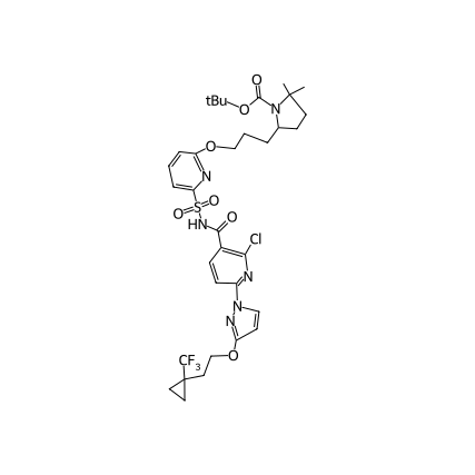 CC(C)(C)OC(=O)N1C(CCCOc2cccc(S(=O)(=O)NC(=O)c3ccc(-n4ccc(OCCC5(C(F)(F)F)CC5)n4)nc3Cl)n2)CCC1(C)C